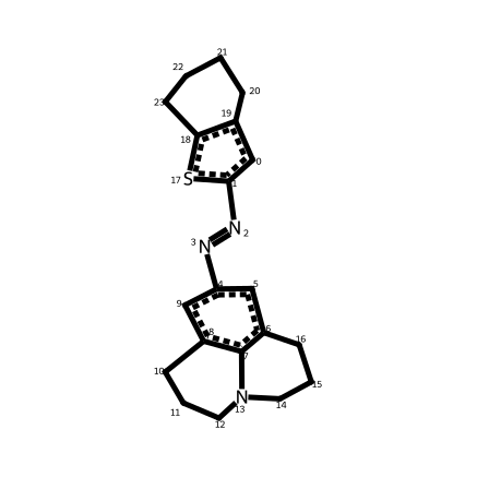 c1c(N=Nc2cc3c4c(c2)CCCN4CCC3)sc2c1CCCC2